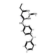 CCC(=N)/C=C(\NN=N)Nc1ccc(Sc2ccncc2)cc1